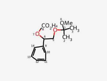 COC(C)(C)OCC(OC(=O)O)c1ccccc1